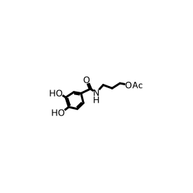 CC(=O)OCCCNC(=O)c1ccc(O)c(O)c1